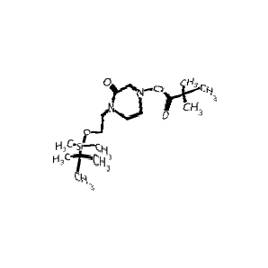 CC(C)(C)C(=O)ON1CCN(CCO[Si](C)(C)C(C)(C)C)C(=O)C1